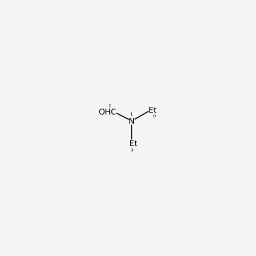 CCN(C=O)CC